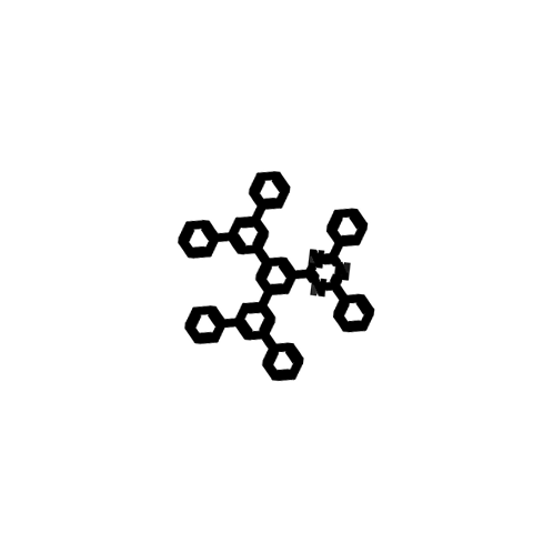 c1ccc(-c2cc(-c3ccccc3)cc(-c3cc(-c4cc(-c5ccccc5)cc(-c5ccccc5)c4)cc(-c4nc(-c5ccccc5)nc(-c5ccccc5)n4)c3)c2)cc1